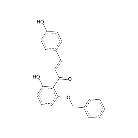 O=C(C=Cc1ccc(O)cc1)c1c(O)cccc1OCc1ccccc1